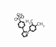 Cc1ccc(-n2cccc2-c2ccc(S(C)(=O)=O)cc2)cc1C